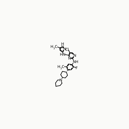 Cc1cc(Nc2nc(Nc3cc(C)c([C@H]4CC[C@H](N5CCCCC5)CC4)cc3F)ncc2Cl)n[nH]1